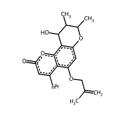 C=C(C)COc1cc2c(c3oc(=O)cc(CCC)c13)C(O)C(C)C(C)O2